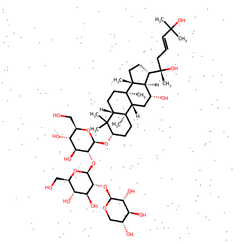 CC(C)(O)/C=C/C[C@](C)(O)[C@H]1CC[C@]2(C)[C@@H]1[C@H](O)C[C@@H]1[C@@]3(C)CC[C@H](O[C@@H]4O[C@H](CO)[C@@H](O)[C@H](O)[C@H]4O[C@@H]4O[C@H](CO)[C@@H](O)[C@H](O)[C@H]4O[C@@H]4OC[C@@H](O)[C@H](O)[C@H]4O)C(C)(C)[C@@H]3CC[C@]12C